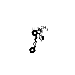 CN(C)/N=C(\c1ccccc1/C=C/COCc1ccccc1)n1ccnc1